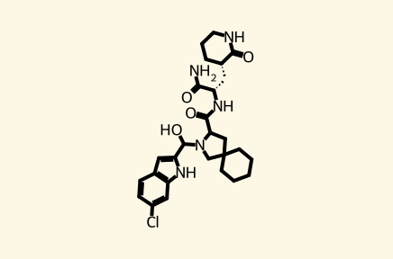 NC(=O)[C@H](C[C@@H]1CCCNC1=O)NC(=O)C1CC2(CCCCC2)CN1C(O)c1cc2ccc(Cl)cc2[nH]1